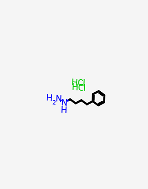 Cl.Cl.NNCCCCc1ccccc1